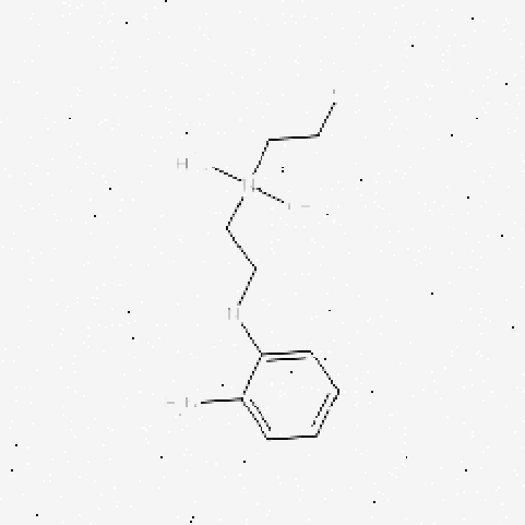 C[N+](C)(CCO)CCNc1ccccc1N